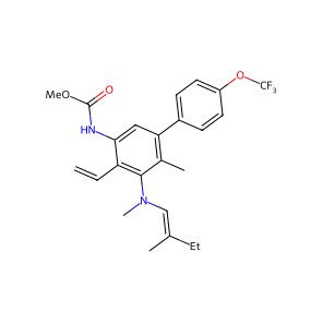 C=Cc1c(NC(=O)OC)cc(-c2ccc(OC(F)(F)F)cc2)c(C)c1N(C)/C=C(\C)CC